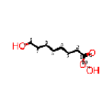 O=C(CCCCCCCO)OO